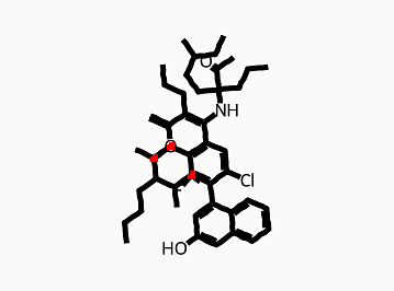 C=C(OCC(CCCC)C(C)CC)/C(CCC)=C(/NC(CCC)(CCC(C)CC)C(C)=O)c1cc(Cl)c(-c2cc(O)cc3ccccc23)c(F)c1CCC